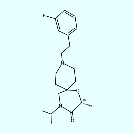 CC(C)N1CC2(CCN(CCc3cccc(F)c3)CC2)O[C@H](C)C1=O